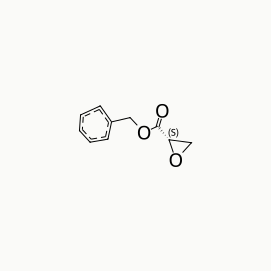 O=C(OCc1ccccc1)[C@@H]1CO1